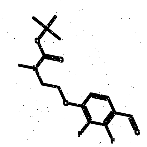 CN(CCOc1ccc(C=O)c(F)c1F)C(=O)OC(C)(C)C